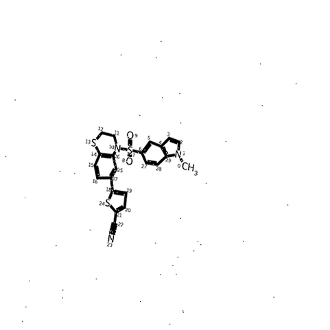 Cn1ccc2cc(S(=O)(=O)N3CCSc4ccc(-c5ccc(C#N)s5)cc43)ccc21